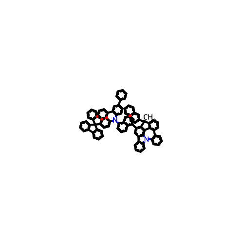 CC1(c2ccc3ccccc3c2)c2cccc3c2-c2c1c(-c1cccc4c(N(c5ccc6c(c5)-c5ccccc5C65c6ccccc6-c6ccccc65)c5ccc(-c6ccccc6)cc5-c5ccccc5)cccc14)cc1c4ccccc4n(c21)-c1ccccc1-3